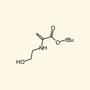 C=C(NCCO)C(=O)OC(C)(C)C